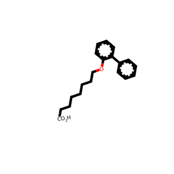 O=C(O)CCCCCCCOc1ccccc1-c1ccccc1